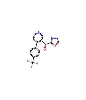 O=C(c1ncco1)c1cnccc1-c1ccc(C(F)(F)F)cc1